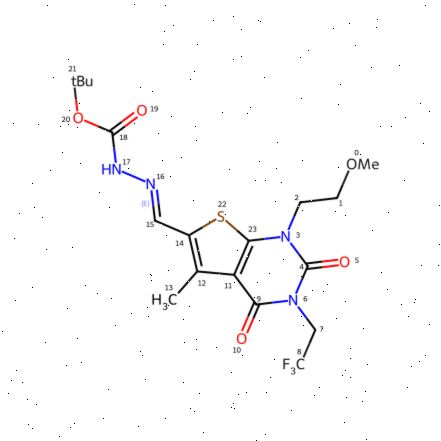 COCCn1c(=O)n(CC(F)(F)F)c(=O)c2c(C)c(/C=N/NC(=O)OC(C)(C)C)sc21